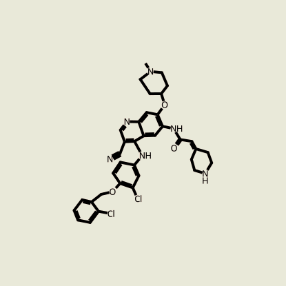 CN1CCC(Oc2cc3ncc(C#N)c(Nc4ccc(OCc5ccccc5Cl)c(Cl)c4)c3cc2NC(=O)C=C2CCNCC2)CC1